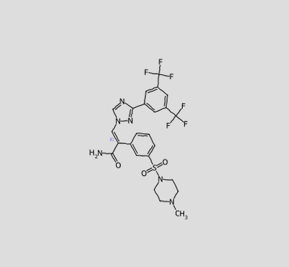 CN1CCN(S(=O)(=O)c2cccc(/C(=C\n3cnc(-c4cc(C(F)(F)F)cc(C(F)(F)F)c4)n3)C(N)=O)c2)CC1